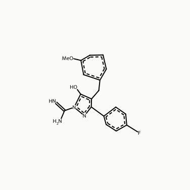 COc1cccc(Cc2c(-c3ccc(F)cc3)nn(C(=N)N)c2O)c1